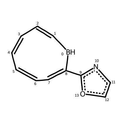 B1C=CC=CC=CC=C1c1ncco1